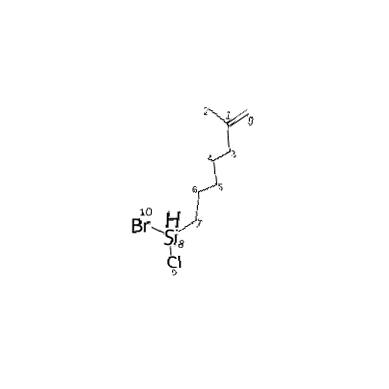 C=C(C)CCCCC[SiH](Cl)Br